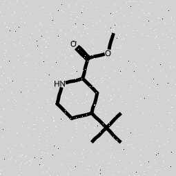 COC(=O)C1CC(C(C)(C)C)CCN1